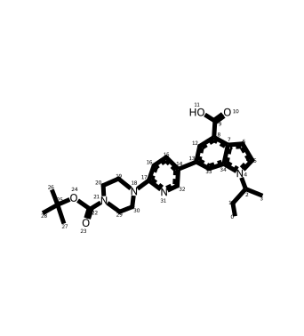 CCC(C)n1ccc2c(C(=O)O)cc(-c3ccc(N4CCN(C(=O)OC(C)(C)C)CC4)nc3)cc21